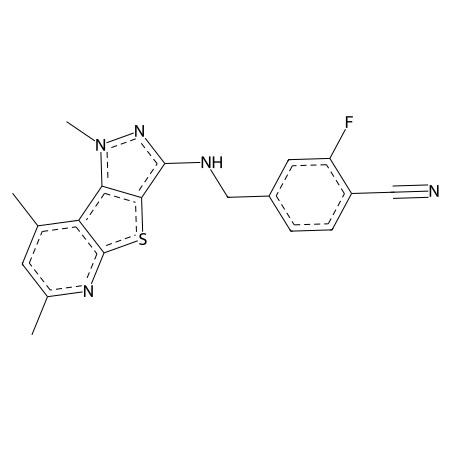 Cc1cc(C)c2c(n1)sc1c(NCc3ccc(C#N)c(F)c3)nn(C)c12